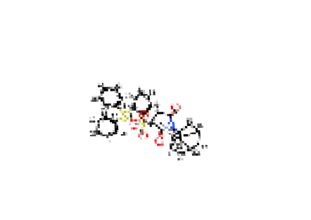 O=C1CC(S(=O)(=O)OS(c2ccccc2)(c2ccccc2)c2ccccc2)C(=O)N1C12CC3CC(CC(C3)C1)C2